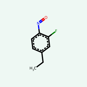 CCc1ccc(N=O)c(F)c1